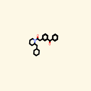 O=C(c1ccccc1)c1cccc(CC(=O)N2CCCCC2CC2CCCCC2)c1